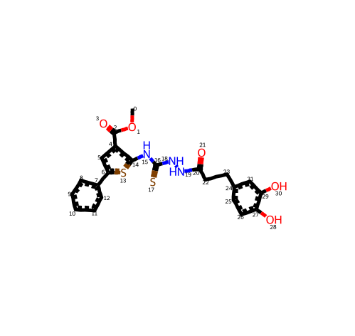 COC(=O)c1cc(-c2ccccc2)sc1NC(=S)NNC(=O)CCc1ccc(O)c(O)c1